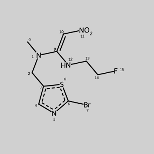 CN(Cc1cnc(Br)s1)C(=C[N+](=O)[O-])NCCF